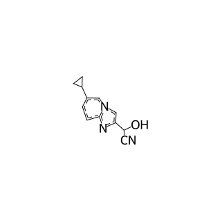 N#CC(O)c1cn2cc(C3CC3)ccc2n1